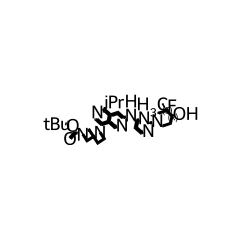 CC(C)c1ncc(N2CCC23CN(C(=O)OC(C)(C)C)C3)c2cnc(Nc3ccnc(N4CC[C@@H](O)[C@@](C)(F)C4)n3)cc12